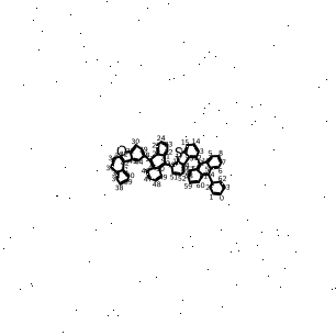 c1ccc(-c2c3ccccc3c(-c3cccc4sc5c(-c6c7ccccc7c(-c7ccc8oc9ccc%10ccccc%10c9c8c7)c7ccccc67)cccc5c34)c3ccccc23)cc1